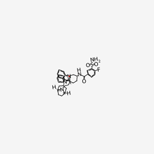 Cc1nc2ccccc2n1C1C[C@H]2CC[C@@H](C1)N2CCC1(c2ccccc2)CCC(NC(=O)c2ccc(F)c(S(N)(=O)=O)c2)CC1